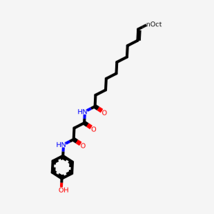 CCCCCCCCC=CCCCCCCCC(=O)NC(=O)CC(=O)Nc1ccc(O)cc1